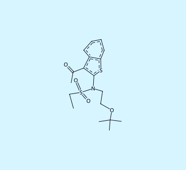 CCS(=O)(=O)N(CCOC(C)(C)C)c1sc2ccccc2c1C(C)=O